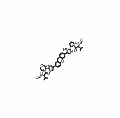 CC(C)[C@H](NC=O)C(=O)N1CCC[C@H]1C1=NCC(c2ccc3c(c2)Oc2ccc(C4CN=C([C@@H]5COCCN5C(=O)[C@@H](NC=O)C(C)C)N4)cc2C3)N1